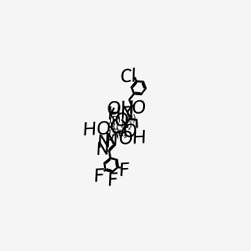 O=C(Cc1cccc(Cl)c1)N[C@@H]1CCO[C@]12O[C@H](CO)[C@H](O)[C@H](n1cc(-c3cc(F)c(F)c(F)c3)nn1)[C@H]2O